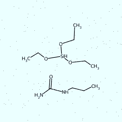 CCCNC(N)=O.CCO[SiH](OCC)OCC